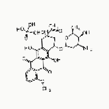 COc1cccc2c1C(=O)c1c(O)c3c(c(O)c1C2=O)C[C@@](O)(C(C)=O)C[C@@H]3O[C@H]1C[C@H](N)[C@H](O)[C@H](C)O1.O=P(O)(O)O